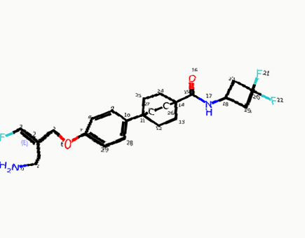 NC/C(=C\F)COc1ccc(C23CCC(C(=O)NC4CC(F)(F)C4)(CC2)CC3)cc1